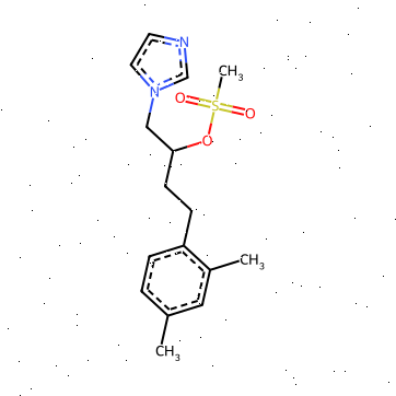 Cc1ccc(CCC(Cn2ccnc2)OS(C)(=O)=O)c(C)c1